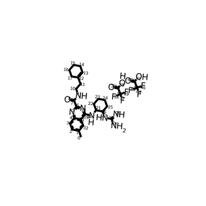 Cc1ccc2nc(C(=O)NCCC3=CCCCC3)nc(NC3CCCCC3NC(=N)N)c2c1.O=C(O)C(F)(F)F.O=C(O)C(F)(F)F